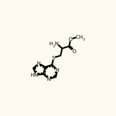 COC(=O)C(N)CSc1ncnc2[nH]cnc12